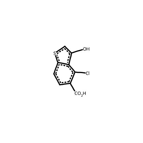 O=C(O)c1ccc2scc(O)c2c1Cl